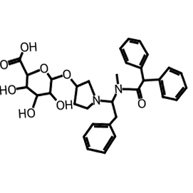 CN(C(=O)C(c1ccccc1)c1ccccc1)C(Cc1ccccc1)N1CCC(OC2OC(C(=O)O)C(O)C(O)C2O)C1